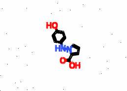 O=C(O)c1cccn1Nc1ccc(O)cc1